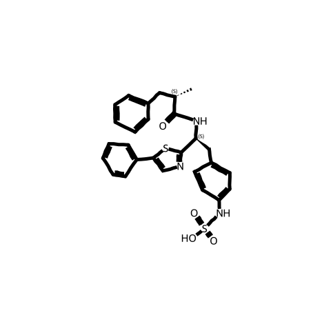 C[C@@H](Cc1ccccc1)C(=O)N[C@@H](Cc1ccc(NS(=O)(=O)O)cc1)c1ncc(-c2ccccc2)s1